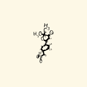 CC1(C)OC(c2ccc(C[SH](=O)=O)cc2)=CC1=O